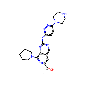 C[C@@H](O)c1cc2cnc(Nc3ccc(N4CCNCC4)nn3)nc2c(N2CCCCC2)n1